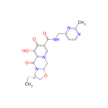 CC[C@H]1COC2Cn3cc(C(=O)NCc4ccnc(C)n4)c(=O)c(O)c3C(=O)N21